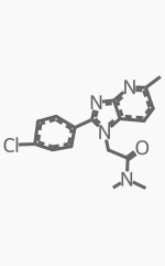 Cc1ccc2c(n1)nc(-c1ccc(Cl)cc1)n2CC(=O)N(C)C